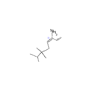 C=C/C(N)=C\CC(C)(C)C(C)C